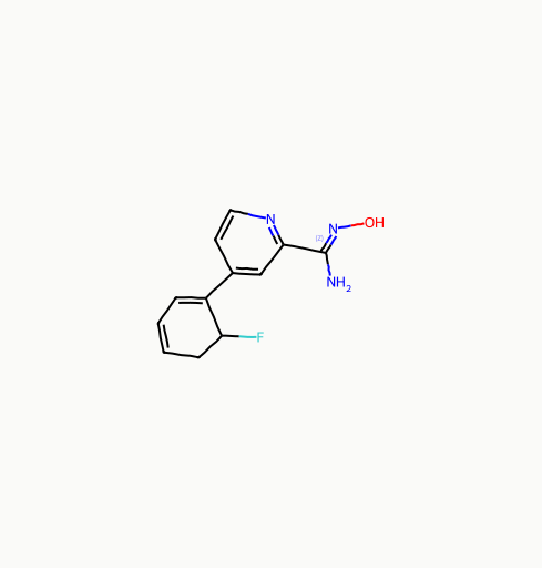 N/C(=N\O)c1cc(C2=CC=CCC2F)ccn1